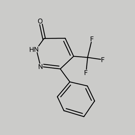 O=c1cc(C(F)(F)F)c(-c2ccccc2)n[nH]1